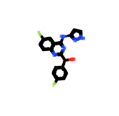 OC(c1ccc(F)cc1)c1nc(Nc2cc[nH]n2)c2cc(F)ccc2n1